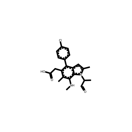 CNc1c(C)c(CC(=O)O)c(-c2ccc(Cl)cc2)c2cc(C)n(C(C)C=O)c12